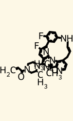 C=CC(=O)N1CCN(c2nc(=O)n3c4nc(c(F)cc24)-c2cc(ccc2F)NC/C=C/Cc2ccnc(C(C)C)c2-3)[C@@H](C)C1